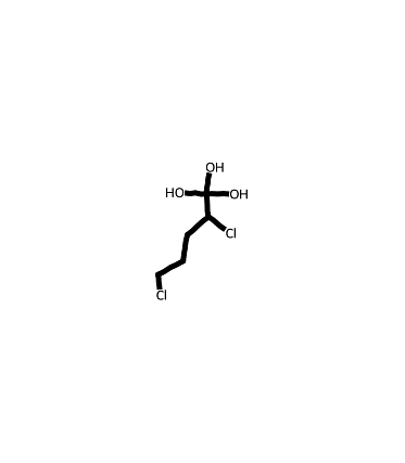 OC(O)(O)C(Cl)CCCCl